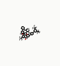 N#Cc1cccc(-c2c(-n3c4ccccc4c4ccc(-c5cc(C(F)(F)F)cc(C(F)(F)F)c5)cc43)cncc2-n2c3ccccc3c3ccc(-c4cc(C(F)(F)F)cc(C(F)(F)F)c4)cc32)c1